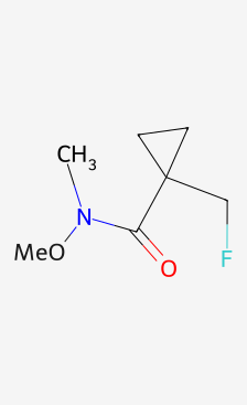 CON(C)C(=O)C1(CF)CC1